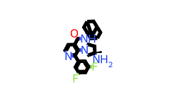 C[C@]1(N)CCN(c2c(C(=O)NC34CC5CC(CC(C5)C3)C4)ccnc2-c2cc(F)cc(F)c2)C1